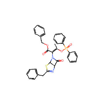 CC(OP(=O)(c1ccccc1)c1ccccc1)=C(C(=O)OCc1ccccc1)N1C(=O)C2N=C(Cc3ccccc3)SC21